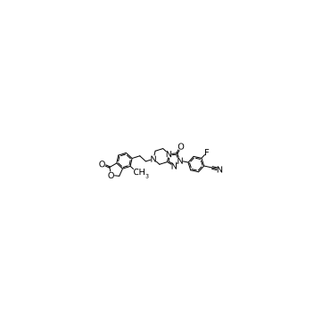 Cc1c(CCN2CCn3c(nn(-c4ccc(C#N)c(F)c4)c3=O)C2)ccc2c1COC2=O